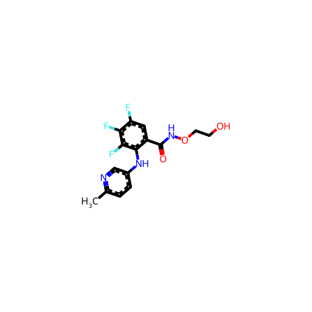 Cc1ccc(Nc2c(C(=O)NOCCO)cc(F)c(F)c2F)cn1